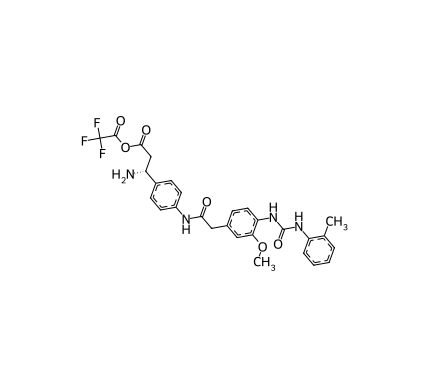 COc1cc(CC(=O)Nc2ccc([C@H](N)CC(=O)OC(=O)C(F)(F)F)cc2)ccc1NC(=O)Nc1ccccc1C